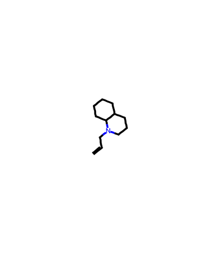 C=CCN1CCCC2CCCCC21